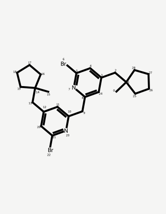 CC1(Cc2cc(Br)nc(Cc3cc(CC4(C)CCCC4)cc(Br)n3)c2)CCCC1